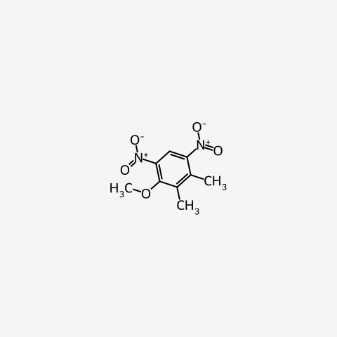 COc1c([N+](=O)[O-])cc([N+](=O)[O-])c(C)c1C